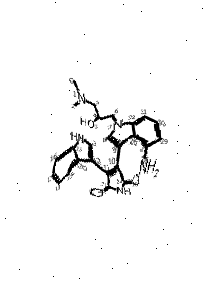 CN(C)CC(O)Cn1cc(C2=C(c3c[nH]c4ccccc34)C(=O)NC2=O)c2c(N)cccc21